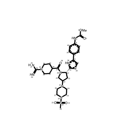 COC(=O)Nc1ccc(-c2cnc([C@@H]3CC(N4CCN(S(C)(=O)=O)CC4)CN3C(=O)C3CCN(C(=N)N)CC3)[nH]2)cc1